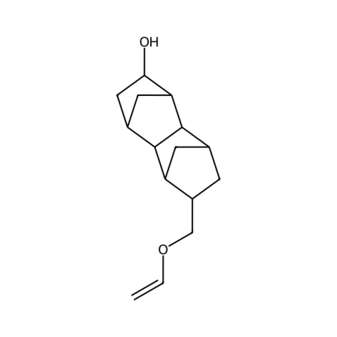 C=COCC1CC2CC1C1C3CC(O)C(C3)C21